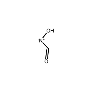 O=C[N+]O